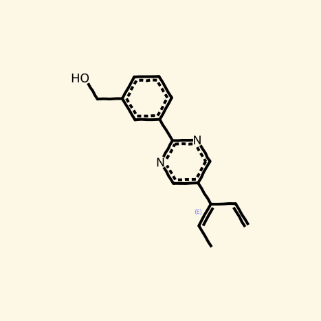 C=C/C(=C\C)c1cnc(-c2cccc(CO)c2)nc1